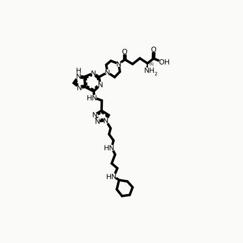 N[C@@H](CCC(=O)N1CCN(c2nc(NCc3cn(CCCNCCCNC4CCCCC4)nn3)c3nc[nH]c3n2)CC1)C(=O)O